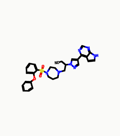 N#CCC(CN1CCCN(S(=O)(=O)c2ccccc2Oc2ccccc2)CC1)n1cc(-c2ncnc3[nH]ccc23)cn1